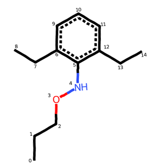 CCCONc1c(CC)cccc1CC